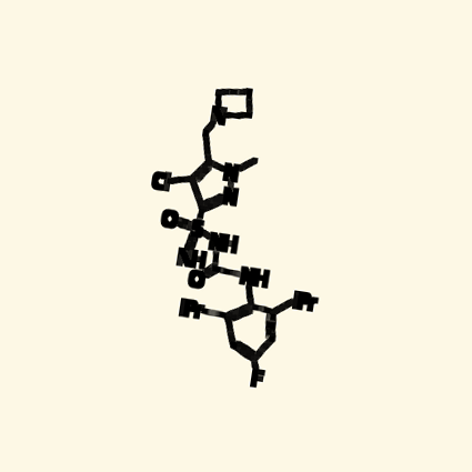 CC(C)c1cc(F)cc(C(C)C)c1NC(=O)NS(=N)(=O)c1nn(C)c(CN2CCC2)c1Cl